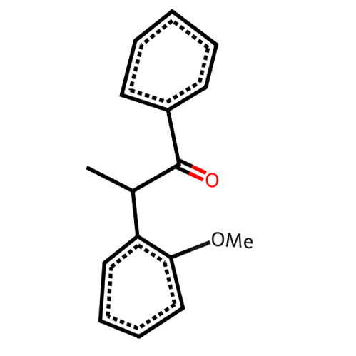 COc1ccccc1C(C)C(=O)c1ccccc1